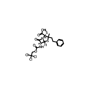 CS[C@@]1(C(=O)O)N2C(=O)[C@@H](NC(=O)OCC(Cl)(Cl)Cl)[C@H]2SC1(C)CCc1ccccc1